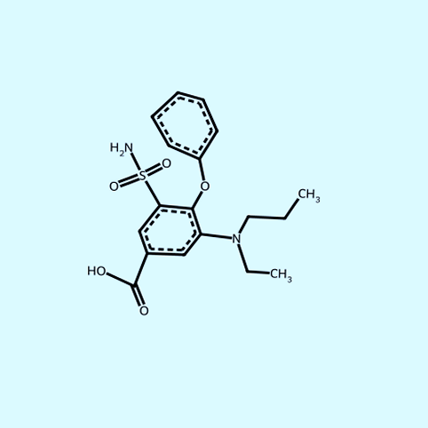 CCCN(CC)c1cc(C(=O)O)cc(S(N)(=O)=O)c1Oc1ccccc1